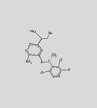 C[C@@H](Oc1cc(C(O)CO)cnc1N)c1c(Cl)ccc(F)c1Cl